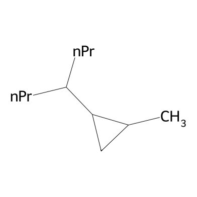 CCCC(CCC)C1CC1C